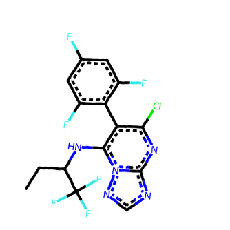 CCC(Nc1c(-c2c(F)cc(F)cc2F)c(Cl)nc2ncnn12)C(F)(F)F